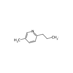 [CH2]CCc1ccc(C)cn1